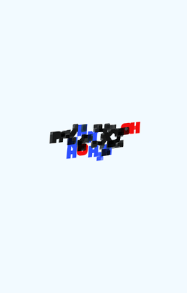 CC(C)c1cnc(N2CCC3(CC2)C[C@H](O)C[C@H]3N)c(=O)[nH]1